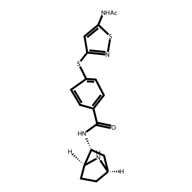 CC(=O)Nc1cc(Sc2ccc(C(=O)N[C@@H]3C[C@H]4CC[C@@H]3N4)cc2)ns1